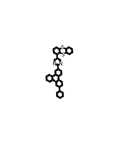 c1ccc(-c2ccc3c4ccc(-c5ncc(-c6cccc7c6Sc6ccccc6S7)cn5)cc4c4ccccc4c3c2)cc1